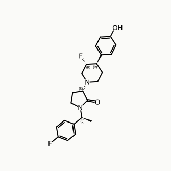 C[C@@H](c1ccc(F)cc1)N1CC[C@H](N2CC[C@H](c3ccc(O)cc3)[C@@H](F)C2)C1=O